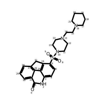 O=c1[nH]c2ccc(S(=O)(=O)N3CCN(CCN4CCCCC4)CC3)c3c2c2c(cccc12)C3